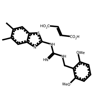 COc1cccc(OC)c1CNC(=N)Nc1nc2cc(C)c(C)cc2s1.O=C(O)/C=C/C(=O)O